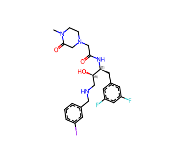 CN1CCN(CC(=O)N[C@@H](Cc2cc(F)cc(F)c2)[C@H](O)CNCc2cccc(I)c2)CC1=O